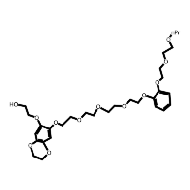 CCCOCCOCCOc1ccccc1OCCOCCOCCOCCOc1cc2c(cc1OCCO)OCCO2